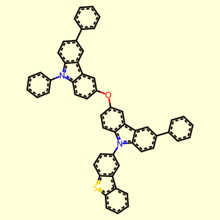 c1ccc(-c2ccc3c(c2)c2cc(Oc4ccc5c(c4)c4cc(-c6ccccc6)ccc4n5-c4ccc5sc6ccccc6c5c4)ccc2n3-c2ccccc2)cc1